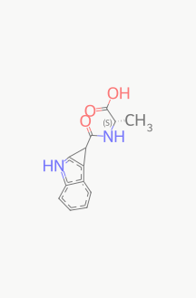 C[C@H](NC(=O)C1c2[nH]c3ccccc3c21)C(=O)O